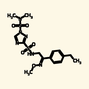 CCc1ccc(/C(CNS(=O)(=O)c2ncn(S(=O)(=O)N(C)C)n2)=N/OC)cc1